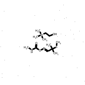 CNC(=O)O/N=C/C(C)(C)SC.C[N+](C)(C)CCO